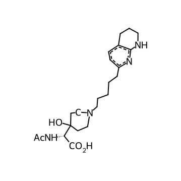 CC(=O)N[C@@H](C(=O)O)C1(O)CCN(CCCCCc2ccc3c(n2)NCCC3)CC1